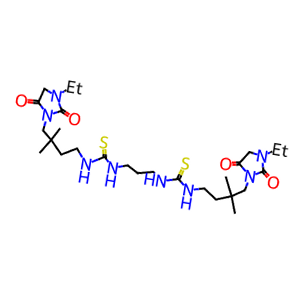 CCN1CC(=O)N(CC(C)(C)CCNC(=S)NCCCNC(=S)NCCC(C)(C)CN2C(=O)CN(CC)C2=O)C1=O